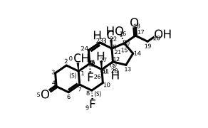 C[C@]12CCC(=O)C=C1[C@@H](F)C[C@H]1[C@@H]3CC[C@](O)(C(=O)CO)[C@@]3(C)C=C[C@@]12F